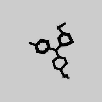 COc1cccc(C(c2ccc(C)cc2)N2CCC(N)CC2)c1